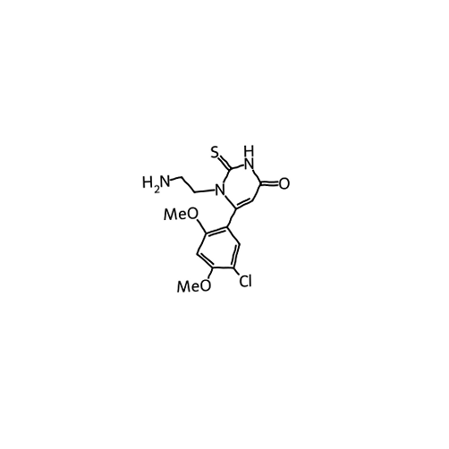 COc1cc(OC)c(-c2cc(=O)[nH]c(=S)n2CCN)cc1Cl